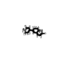 Cc1ccc2cc(-c3ccncc3)ccc2n1